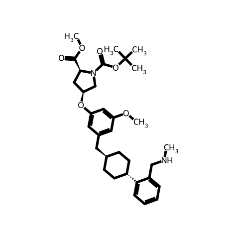 CNCc1ccccc1[C@H]1CC[C@H](Cc2cc(OC)cc(O[C@H]3C[C@@H](C(=O)OC)N(C(=O)OC(C)(C)C)C3)c2)CC1